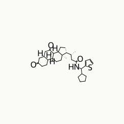 C[C@H](CC(=O)NC(c1cccs1)C1CCCC1)[C@H]1CC[C@H]2[C@@H]3C(=O)C[C@@H]4CC(=O)CC[C@]4(C)[C@H]3CC[C@]12C